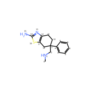 CNCC1(c2ccccc2)CCc2nc(N)sc2C1